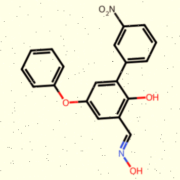 O=[N+]([O-])c1cccc(-c2cc(Oc3ccccc3)cc(/C=N/O)c2O)c1